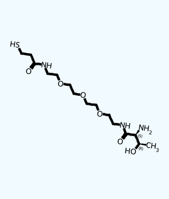 C[C@@H](O)[C@H](N)C(=O)NCCOCCOCCOCCNC(=O)CCS